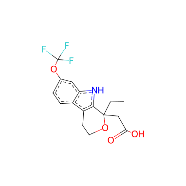 CCC1(CC(=O)O)OCCc2c1[nH]c1cc(OC(F)(F)F)ccc21